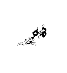 O=C(OC(CS(=O)(=O)O)(C(F)(F)F)C(F)(F)F)c1ccc(I)c(OC(=O)C2C3CC4OC(=O)C2C4C3)c1